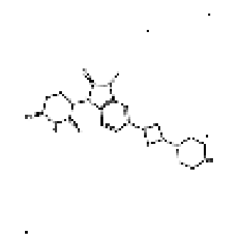 Cn1c(=O)n(C2CCC(=O)NC2=O)c2ccc(N3CC(N4CCNCC4)C3)cc21